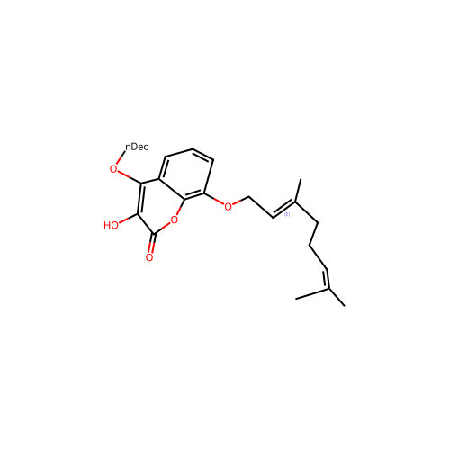 CCCCCCCCCCOc1c(O)c(=O)oc2c(OC/C=C(\C)CCC=C(C)C)cccc12